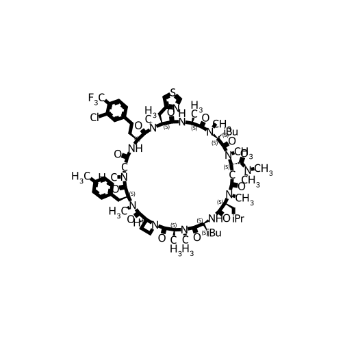 CC[C@H](C)[C@@H]1NC(=O)[C@H](CC(C)C)N(C)C(=O)C[C@@H](C(=O)N(C)C)N(C)C(=O)[C@H]([C@@H](C)CC)N(C)C(=O)[C@H](C)NC(=O)[C@H](Cc2cscn2)N(C)C(=O)[C@H](CCc2ccc(C(F)(F)F)c(Cl)c2)NC(=O)CN(C)C(=O)[C@H](Cc2ccc(C)cc2)N(C)C(=O)[C@@H]2CCN2C(=O)[C@H](C)N(C)C1=O